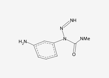 CNC(=O)N(N=N)c1cccc(N)c1